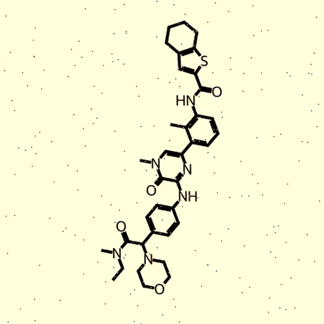 CCN(C)C(=O)C(c1ccc(Nc2nc(-c3cccc(NC(=O)c4cc5c(s4)CCCC5)c3C)cn(C)c2=O)cc1)N1CCOCC1